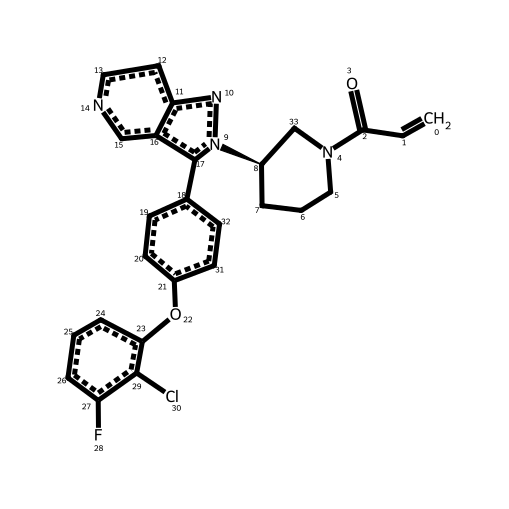 C=CC(=O)N1CCC[C@@H](n2nc3ccncc3c2-c2ccc(Oc3cccc(F)c3Cl)cc2)C1